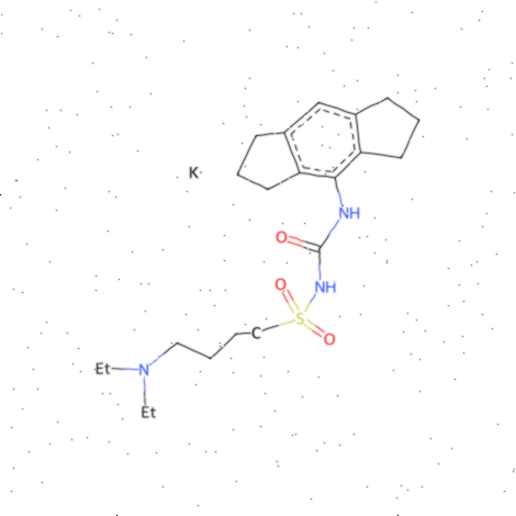 CCN(CC)CCCCS(=O)(=O)NC(=O)Nc1c2c(cc3c1CCC3)CCC2.[K]